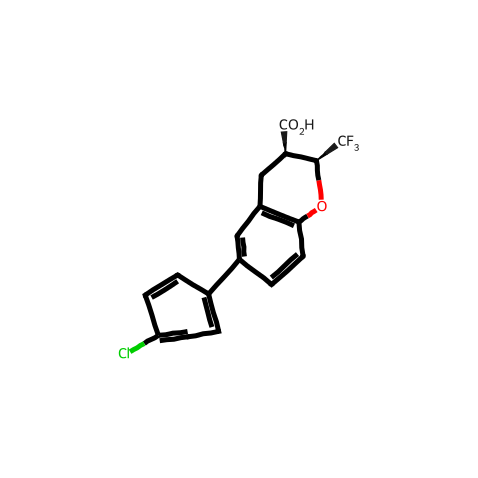 O=C(O)[C@@H]1Cc2cc(-c3ccc(Cl)cc3)ccc2O[C@@H]1C(F)(F)F